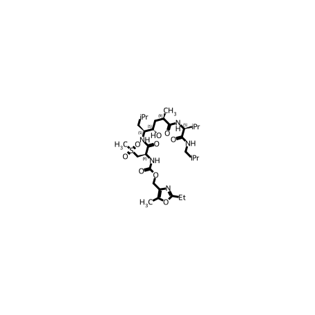 CCc1nc(COC(=O)N[C@@H](CS(C)(=O)=O)C(=O)N[C@@H](CC(C)C)[C@@H](O)C[C@@H](C)C(=O)N[C@H](C(=O)NCC(C)C)C(C)C)c(C)o1